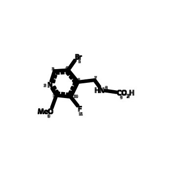 COc1ncc(Br)c(CNC(=O)O)c1F